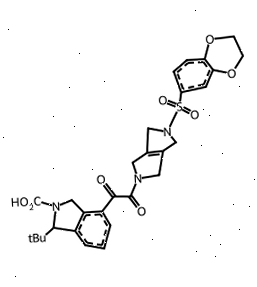 CC(C)(C)C1c2cccc(C(=O)C(=O)N3CC4=C(C3)CN(S(=O)(=O)c3ccc5c(c3)OCCO5)C4)c2CN1C(=O)O